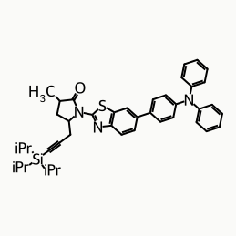 CC1CC(CC#C[Si](C(C)C)(C(C)C)C(C)C)N(c2nc3ccc(-c4ccc(N(c5ccccc5)c5ccccc5)cc4)cc3s2)C1=O